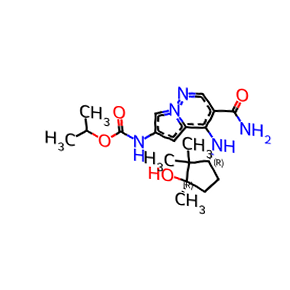 CC(C)OC(=O)Nc1cc2c(N[C@@H]3CC[C@@](C)(O)C3(C)C)c(C(N)=O)cnn2c1